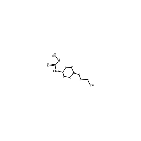 CCC(C)CCCN1CCC(NC(=O)OC(C)(C)C)CC1